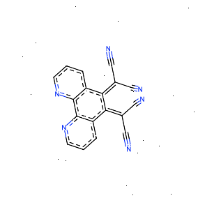 N#CC(C#N)=c1c(=C(C#N)C#N)c2cccnc2c2ncccc12